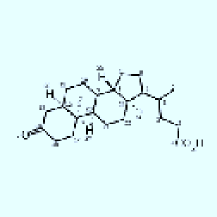 CC(CCC(=O)O)C1CC[C@H]2C3CC[C@@H]4CC(=O)CC[C@]4(C)[C@@H]3CC[C@]12C